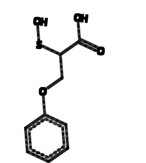 O=C(O)C(COc1ccccc1)SO